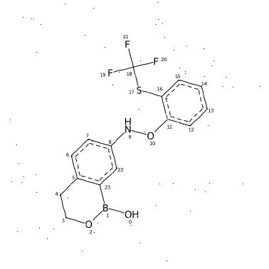 OB1OCCc2ccc(NOc3ccccc3SC(F)(F)F)cc21